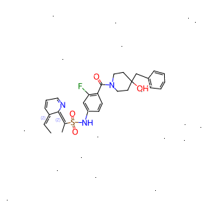 C/C=c1/cccn/c1=C(/C)S(=O)(=O)Nc1ccc(C(=O)N2CCC(O)(Cc3ccccc3)CC2)c(F)c1